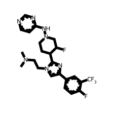 CN(C)CCn1cc(-c2ccc(F)c(C(F)(F)F)c2)nc1C1CCN(Nc2ccncn2)CC1F